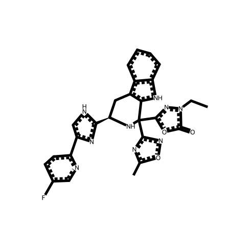 CCn1nc(C2(c3noc(C)n3)N[C@@H](c3nc(-c4ccc(F)cn4)c[nH]3)Cc3c2[nH]c2ccccc32)oc1=O